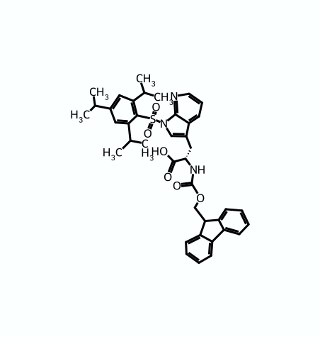 CC(C)c1cc(C(C)C)c(S(=O)(=O)n2cc(C[C@H](NC(=O)OCC3c4ccccc4-c4ccccc43)C(=O)O)c3cccnc32)c(C(C)C)c1